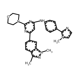 Cc1nn(C)c2cc(-c3cc(Nc4ccc(-c5nccn5C)cc4)nc(N4CCOCC4)n3)ccc12